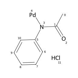 CC(=O)[N]([Pd])c1ccccc1.Cl